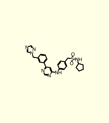 O=S(=O)(Cc1ccc(Nc2cc(-c3cccc(Cn4cncn4)c3)ncn2)cc1)NC1CCCC1